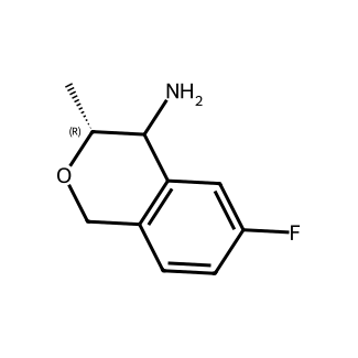 C[C@H]1OCc2ccc(F)cc2C1N